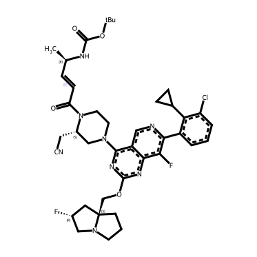 C[C@H](/C=C/C(=O)N1CCN(c2nc(OC[C@@]34CCCN3C[C@H](F)C4)nc3c(F)c(-c4cccc(Cl)c4C4CC4)ncc23)C[C@@H]1CC#N)NC(=O)OC(C)(C)C